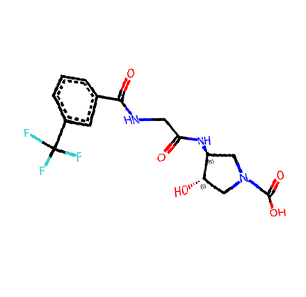 O=C(CNC(=O)c1cccc(C(F)(F)F)c1)N[C@H]1CN(C(=O)O)C[C@@H]1O